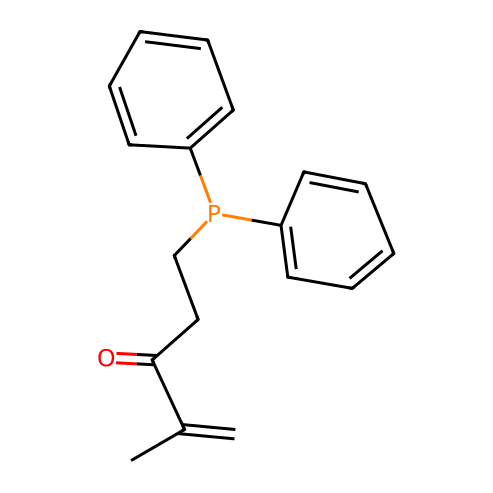 C=C(C)C(=O)CCP(c1ccccc1)c1ccccc1